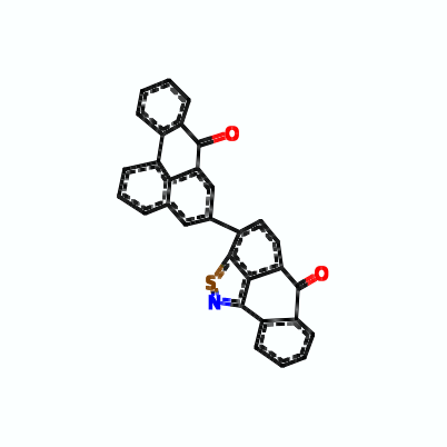 O=C1c2ccccc2-c2cccc3cc(-c4ccc5c6c(nsc46)-c4ccccc4C5=O)cc1c23